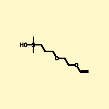 C=COCCOCCC[Si](C)(C)O